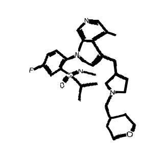 CN=S(=O)(c1cc(F)ccc1-n1cc(CC2CCN(CC3CCOCC3)C2)c2c(C)cncc21)C(C)C